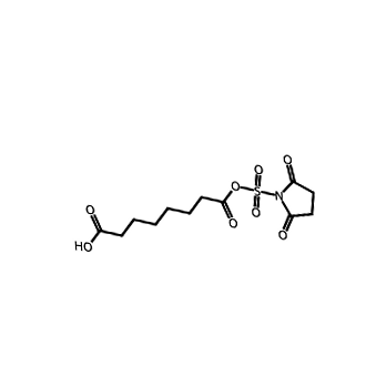 O=C(O)CCCCCCC(=O)OS(=O)(=O)N1C(=O)CCC1=O